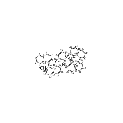 Cc1cccc2cccc(-c3cccc4ccc5c(c34)Cc3cccc4c3B5c3ccc5cccc6c7cccc8cccc(c87)n-4c3c56)c12